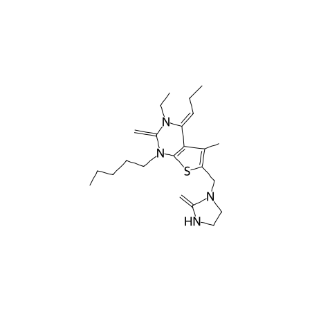 C=C1NCCN1Cc1sc2c(c1C)C(=CCC)N(CC)C(=C)N2CCCCC